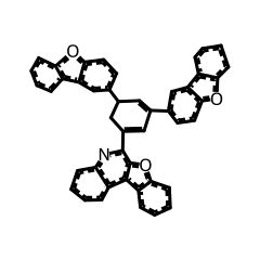 C1=C(c2ccc3oc4ccccc4c3c2)C=C(c2nc3ccccc3c3c2oc2ccccc23)CC1c1ccc2oc3ccccc3c2c1